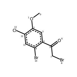 COc1cc(C(=O)CBr)c(Br)cc1Cl